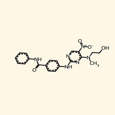 CN(CCO)c1nc(Nc2ccc(C(=O)Nc3ccccc3)cc2)ncc1[N+](=O)[O-]